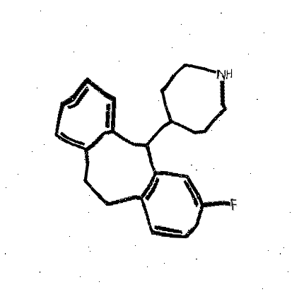 Fc1ccc2c(c1)C(C1CCNCC1)c1ccccc1CC2